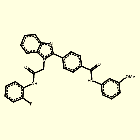 COc1cccc(NC(=O)c2ccc(-c3nc4ccccc4n3CC(=O)Nc3ccccc3F)cc2)c1